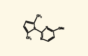 CC(=O)Oc1ccnc(-n2c(C)ccc2C)n1